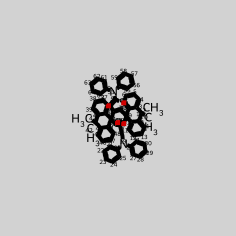 CC1(C)c2ccccc2C2(c3ccccc31)c1cc(N(c3ccccc3)c3ccccc3)sc1C1(c3ccccc3C(C)(C)c3ccccc31)c1cc(N(c3ccccc3)c3ccccc3)sc12